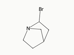 BrC1CC2CCN1C2